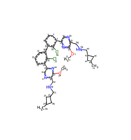 COc1nc(-c2cccc(-c3cccc(-c4cnc(CNCC5CC(C)C5)c(OC)n4)c3Cl)c2Cl)cnc1CNCC1CC(C)C1